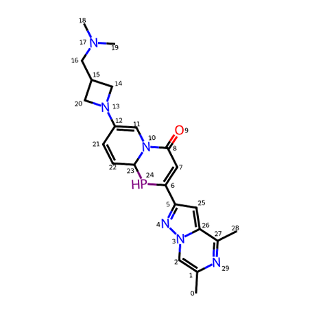 Cc1cn2nc(C3=CC(=O)N4C=C(N5CC(CN(C)C)C5)C=CC4P3)cc2c(C)n1